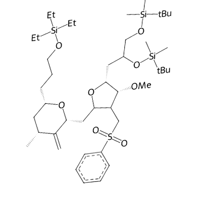 C=C1[C@H](C)C[C@H](CCCO[Si](CC)(CC)CC)O[C@@H]1CC1O[C@H](CC(CO[Si](C)(C)C(C)(C)C)O[Si](C)(C)C(C)(C)C)[C@H](OC)C1CS(=O)(=O)c1ccccc1